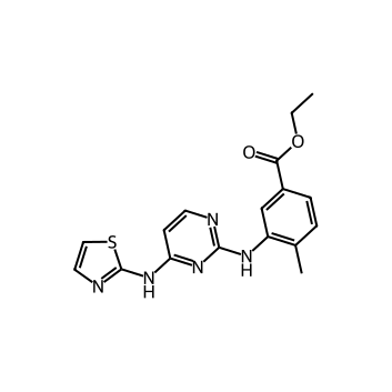 CCOC(=O)c1ccc(C)c(Nc2nccc(Nc3nccs3)n2)c1